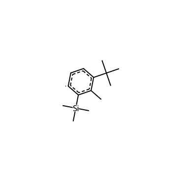 Cc1c([Si](C)(C)C)[c]ccc1C(C)(C)C